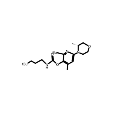 CCC(C)c1nc(N2CCOC[C@H]2C)cc(C)c1OC(=O)NCCCC(C)(C)C